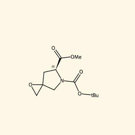 COC(=O)[C@@H]1CC2(CO2)CN1C(=O)OC(C)(C)C